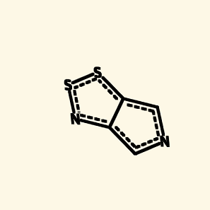 c1ncc2ssnc1-2